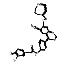 COc1cc2c(-c3ccc(NC(=O)Cc4ccc(Cl)c(C(F)(F)F)c4)cc3)ncnc2cc1OCC1CCNCC1